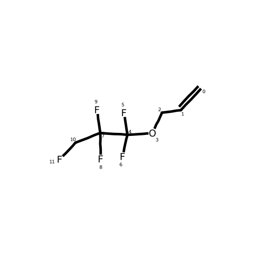 C=CCOC(F)(F)C(F)(F)CF